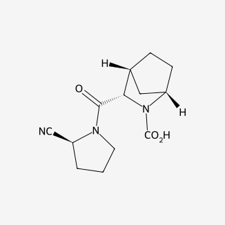 N#C[C@@H]1CCCN1C(=O)[C@@H]1[C@@H]2CC[C@@H](C2)N1C(=O)O